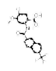 COc1cc(NC(=O)c2ccc3cc(C(F)(F)F)ccc3c2)c(C(=O)O)cc1Cl